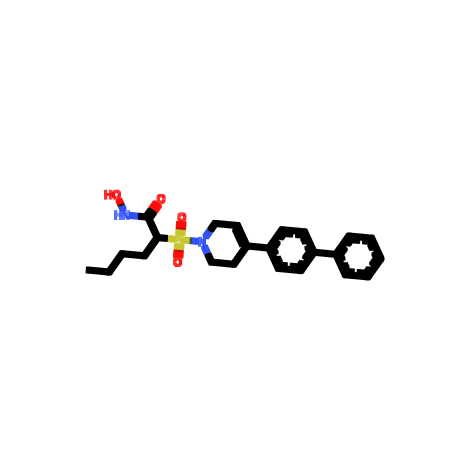 CCCCC(C(=O)NO)S(=O)(=O)N1CC=C(c2ccc(-c3ccccc3)cc2)CC1